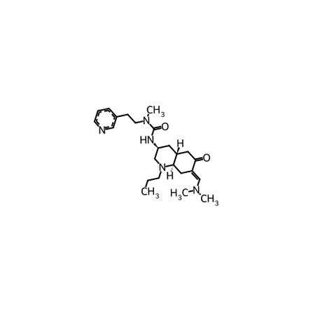 CCCN1C[C@@H](NC(=O)N(C)CCc2cccnc2)C[C@@H]2CC(=O)C(=CN(C)C)C[C@H]21